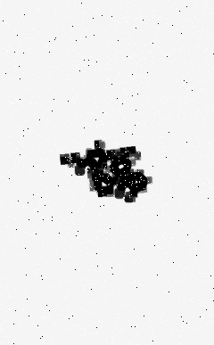 NC(=O)c1cc(F)c(NC2CCCCC2N)nc1Nc1cncc(NC(=O)c2ccccc2Cl)c1